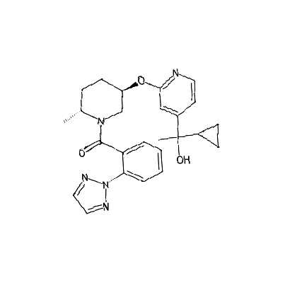 C[C@@H]1CC[C@@H](Oc2cc(C(C)(O)C3CC3)ccn2)CN1C(=O)c1ccccc1-n1nccn1